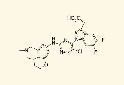 CN1Cc2cc(Nc3ncc(Cl)c(-n4cc(CC(=O)O)c5cc(F)c(F)cc54)n3)cc3c2C(CCO3)C1